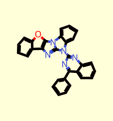 c1ccc(-c2nc(-n3c4ccccc4n4c5oc6ccccc6c5nc34)nc3ccccc23)cc1